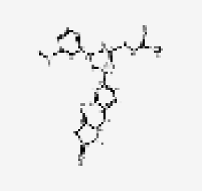 COc1cccc([C@H](COc2ccc(CC3SC(=O)CC3=O)cc2)OC(=O)CCC(=O)O)c1